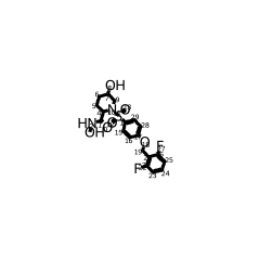 O=C(NO)C1CCC(O)CN1S(=O)(=O)c1ccc(OCc2c(F)cccc2F)cc1